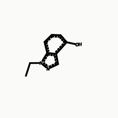 CCn1ncc2c(O)cccc21